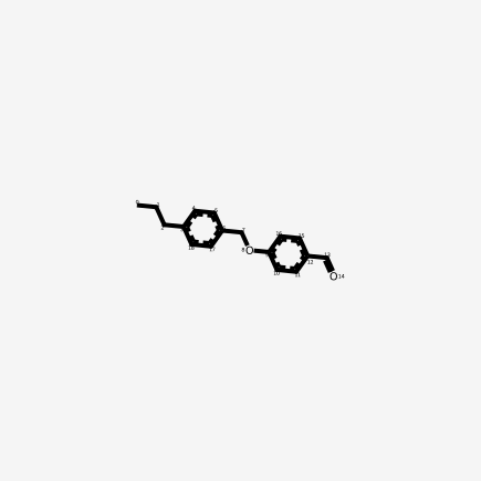 CCCc1ccc(COc2ccc(C=O)cc2)cc1